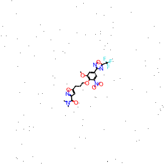 COc1cc(-c2noc(C(F)(F)F)n2)cc([N+](=O)[O-])c1OCCCc1cc(C(=O)N(C)C)no1